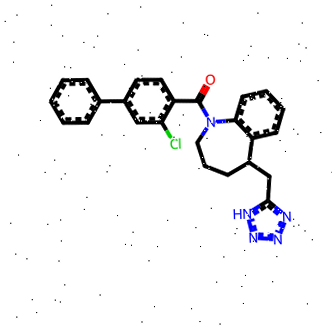 O=C(c1ccc(-c2ccccc2)cc1Cl)N1CCCC(Cc2nnn[nH]2)c2ccccc21